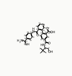 CC(C)(C)C(CO)NC(=O)c1ccc(-c2cnccc2C(=O)Nc2ccc(C(=N)N)cc2)c(C(=O)O)c1